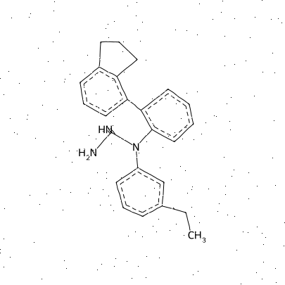 CCc1cccc(N(C(=N)N)c2ccccc2-c2cccc3c2CCC3)c1